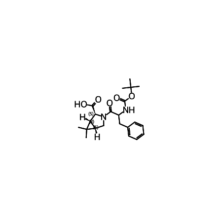 CC(C)(C)OC(=O)NC(Cc1ccccc1)C(=O)N1C[C@H]2[C@@H]([C@H]1C(=O)O)C2(C)C